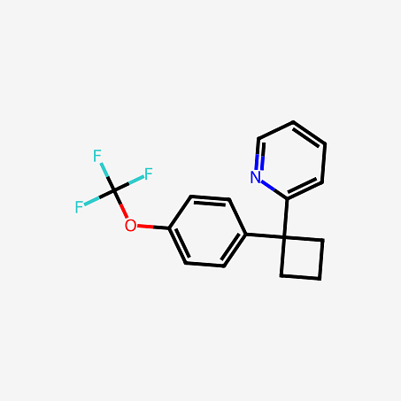 FC(F)(F)Oc1ccc(C2(c3ccccn3)CCC2)cc1